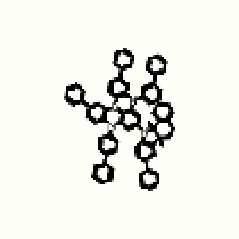 CC12CCc3ccccc3C1(C)N(c1cc3c4c(c1)N(c1cccc(-c5ccccc5)c1)c1cc(-c5ccccc5)ccc1B4c1cc(-c4ccccc4)ccc1N3c1ccc(-c3ccccc3)cc1)c1ccc(-c3ccccc3)cc12